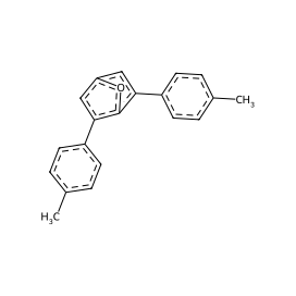 Cc1ccc(-c2cc3cc(-c4ccc(C)cc4)c2o3)cc1